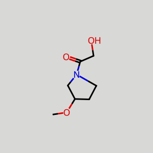 COC1CCN(C(=O)CO)C1